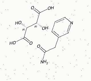 NC(=O)Cc1cccnc1.O=C(O)[C@H](O)[C@@H](O)C(=O)O